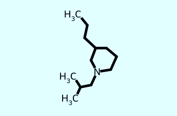 CCCC1CCCN(CC(C)C)C1